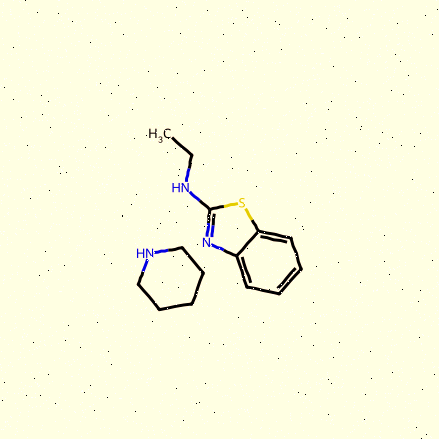 C1CCNCC1.CCNc1nc2ccccc2s1